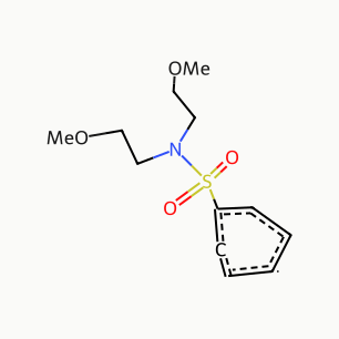 COCCN(CCOC)S(=O)(=O)c1cc[c]cc1